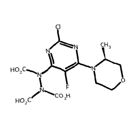 C[C@H]1COCCN1c1nc(Cl)nc(N(C(=O)O)N(C(=O)O)C(=O)O)c1F